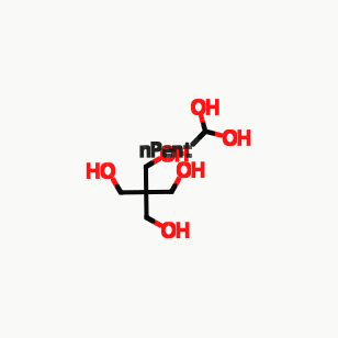 CCCCCC(O)O.OCC(CO)(CO)CO